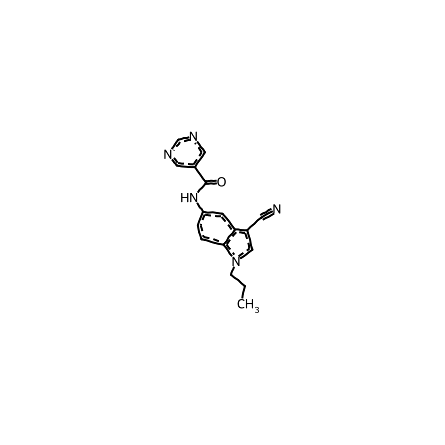 CCCn1cc(C#N)c2cc(NC(=O)c3cncnc3)ccc21